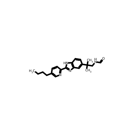 CCCCc1ccc(-c2nc3cc(C(C)(C)CNC=O)ccc3[nH]2)nc1